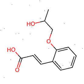 CC(O)COc1ccccc1C=CC(=O)O